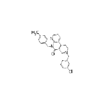 Cc1ccc(Cn2c(=O)c3c(c4cccnc42)CCN(Cc2cccc(Cl)c2)C3)cc1